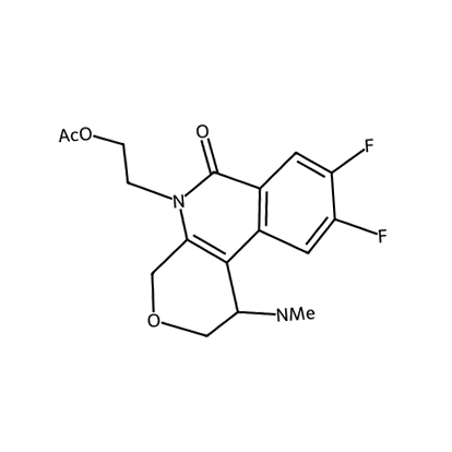 CNC1COCc2c1c1cc(F)c(F)cc1c(=O)n2CCOC(C)=O